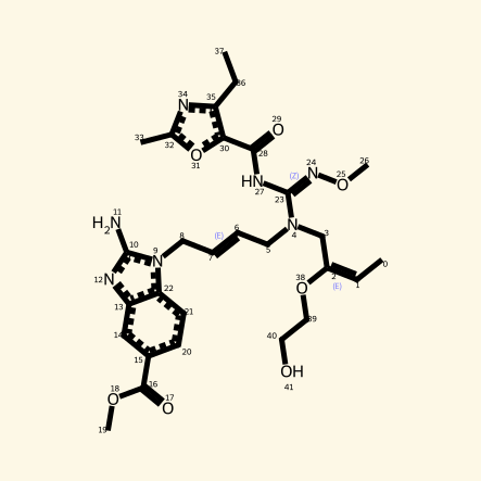 C/C=C(\CN(C/C=C/Cn1c(N)nc2cc(C(=O)OC)ccc21)/C(=N\OC)NC(=O)c1oc(C)nc1CC)OCCO